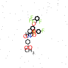 COC(=O)[C@H]1CC[C@H](C(=O)N2CC[C@@]3(S(=O)(=O)c4ccc(F)cc4)c4ccc(OCc5c(F)cccc5C(F)(F)F)cc4CC[C@@H]23)CC1